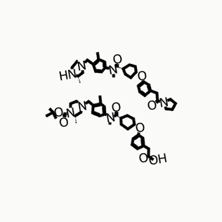 Cc1cc(N(C)C(=O)[C@H]2CC[C@H](Oc3cccc(CC(=O)N4CCCC4)c3)CC2)ccc1CN1CCN[C@@H](C)C1.Cc1cc(N(C)C(=O)[C@H]2CC[C@H](Oc3cccc(CC(=O)O)c3)CC2)ccc1CN1CCN(C(=O)OC(C)(C)C)[C@@H](C)C1